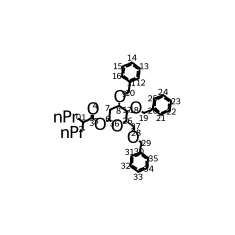 CCCC(CCC)C(=O)O[C@H]1C[C@@H](OCc2ccccc2)[C@H](OCc2ccccc2)[C@@H](COCc2ccccc2)O1